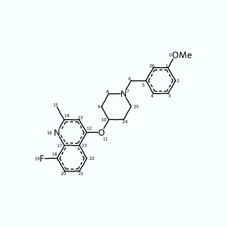 COc1cccc(CN2CCC(Oc3cc(C)nc4c(F)cccc34)CC2)c1